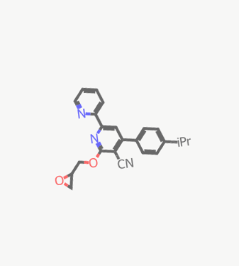 CC(C)c1ccc(-c2cc(-c3ccccn3)nc(OCC3CO3)c2C#N)cc1